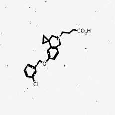 O=C(O)CCCN1Cc2ccc(OCc3cccc(Cl)c3)cc2C2(CC2)C1